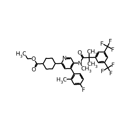 CCOC(=O)C1CCC(c2cc(-c3ccc(F)cc3C)c(N(C)C(=O)C(C)(C)c3cc(C(F)(F)F)cc(C(F)(F)F)c3)cn2)CC1